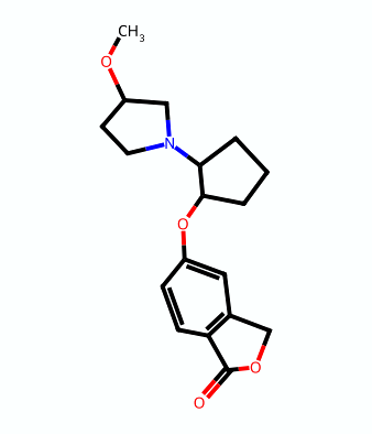 COC1CCN(C2CCCC2Oc2ccc3c(c2)COC3=O)C1